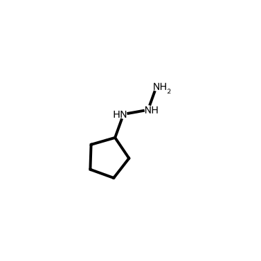 NNNC1CCCC1